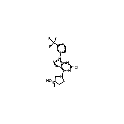 C[C@]1(O)CCN(c2nc(Cl)nc3c2cnn3-c2cccc(C(F)(F)F)c2)C1